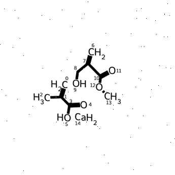 C=C(C)C(=O)O.C=C(CO)C(=O)OC.[CaH2]